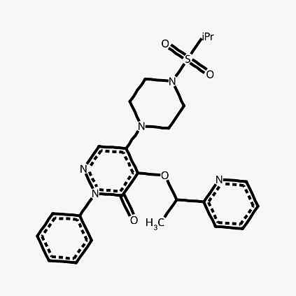 CC(Oc1c(N2CCN(S(=O)(=O)C(C)C)CC2)cnn(-c2ccccc2)c1=O)c1ccccn1